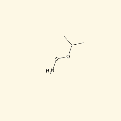 CC(C)OSN